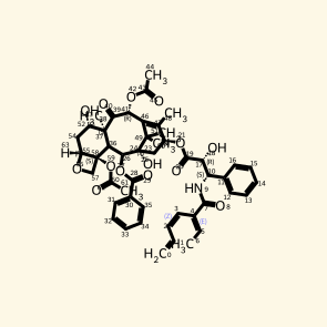 C=C/C=C\C(=C/C)C(=O)N[C@@H](c1ccccc1)[C@@H](O)C(=O)O[C@H]1C[C@@]2(O)C(OC(=O)c3ccccc3)C3[C@](C)(C(=O)[C@H](OC(C)=O)C(=C1C)C2(C)C)[C@@H](O)C[C@H]1OC[C@@]31OC(C)=O